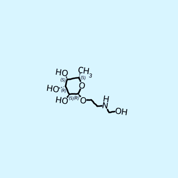 C[C@@H]1O[C@@H](OCCNCO)[C@@H](O)[C@H](O)[C@@H]1O